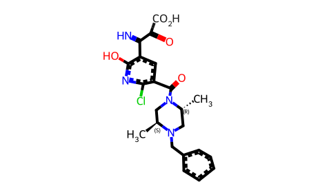 C[C@@H]1CN(Cc2ccccc2)[C@@H](C)CN1C(=O)c1cc(C(=N)C(=O)C(=O)O)c(O)nc1Cl